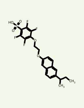 CCC(C)c1ccc2cc(OCCOc3c(F)c(F)c(S(=O)(=O)O)c(F)c3F)ccc2c1